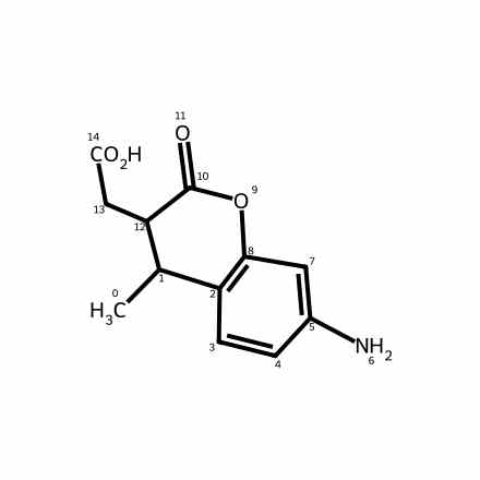 CC1c2ccc(N)cc2OC(=O)C1CC(=O)O